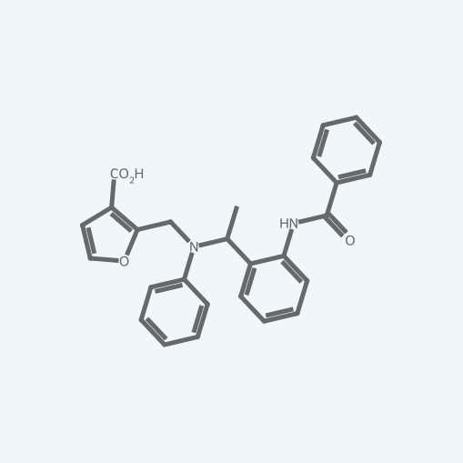 CC(c1ccccc1NC(=O)c1ccccc1)N(Cc1occc1C(=O)O)c1ccccc1